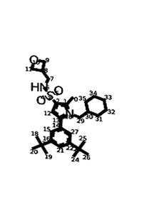 Cc1c(S(=O)(=O)NCC2COC2)cc(-c2cc(C(C)(C)C)cc(C(C)(C)C)c2)n1CC1CCCCC1